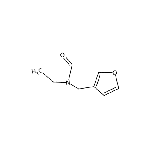 CCN(C=O)Cc1ccoc1